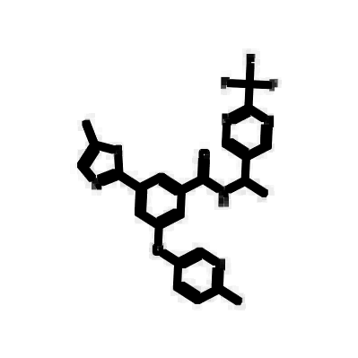 Cc1ccc(Oc2cc(C(=O)NC(C)c3cnc(C(F)(F)F)nc3)cc(-c3ncc(C)s3)c2)cn1